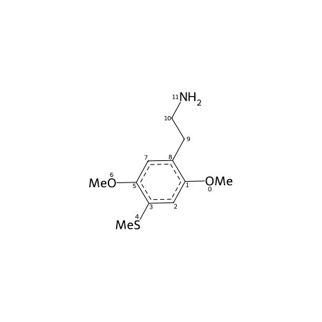 COc1cc(SC)c(OC)cc1CCN